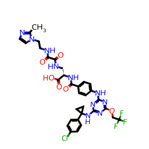 Cc1nccn1CCNC(=O)C(=O)NC[C@H](NC(=O)c1ccc(Nc2nc(NC3(c4ccc(Cl)cc4)CC3)nc(OCC(F)(F)F)n2)cc1)C(=O)O